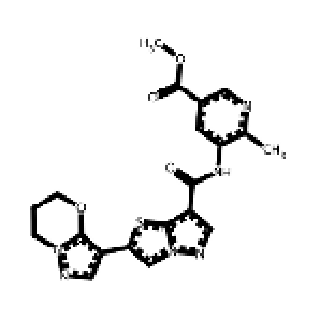 COC(=O)c1cnc(C)c(NC(=O)c2cnn3cc(-c4cnn5c4OCCC5)sc23)c1